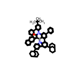 CC(C)(C)c1ccc(N2c3cc(-c4ccccc4)cc4c3B(c3c2sc2cc5ccccc5cc32)n2c3ccc(C56CCCC(CCC5)C6)cc3c3cc(C56CCCC(CCC5)C6)cc-4c32)c(-c2ccccc2)c1